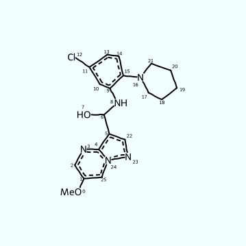 COc1cnc2c(C(O)Nc3cc(Cl)ccc3N3CCCCC3)cnn2c1